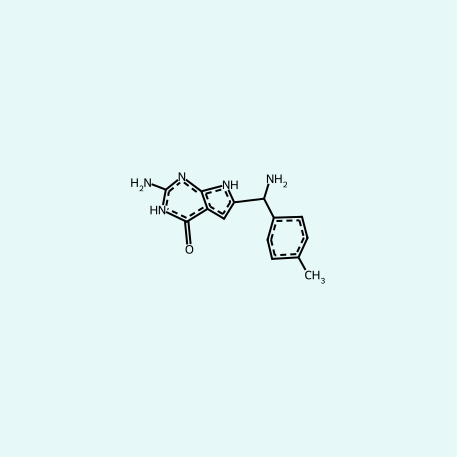 Cc1ccc(C(N)c2cc3c(=O)[nH]c(N)nc3[nH]2)cc1